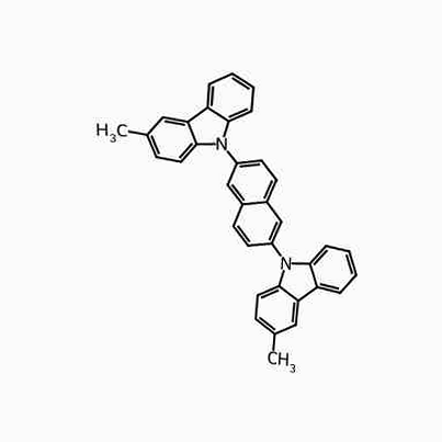 Cc1ccc2c(c1)c1ccccc1n2-c1ccc2cc(-n3c4ccccc4c4cc(C)ccc43)ccc2c1